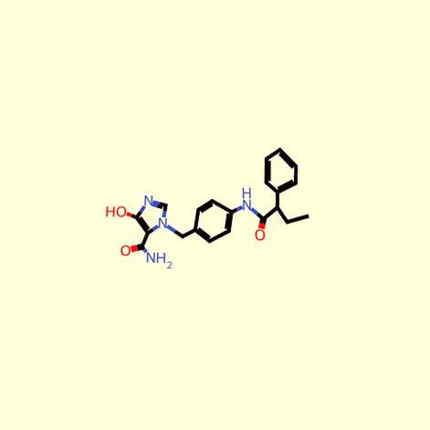 CCC(C(=O)Nc1ccc(Cn2cnc(O)c2C(N)=O)cc1)c1ccccc1